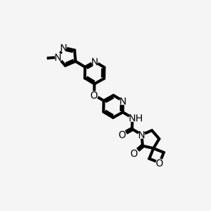 Cn1cc(-c2cc(Oc3ccc(NC(=O)N4CCC5(COC5)C4=O)nc3)ccn2)cn1